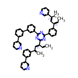 C=C/C(=C\C(=C)c1cccc(-c2cccnc2)c1)c1nc(-c2cccc(C(/C=C(\C)c3cccnc3)=C/C)c2)nc(-c2cccc(-c3cccc(-c4cccnc4)c3)c2)n1